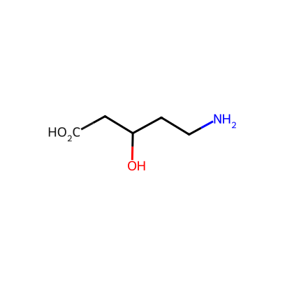 NCCC(O)CC(=O)O